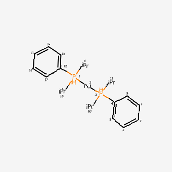 CC(C)[PH]([Pd][PH](c1ccccc1)(C(C)C)C(C)C)(c1ccccc1)C(C)C